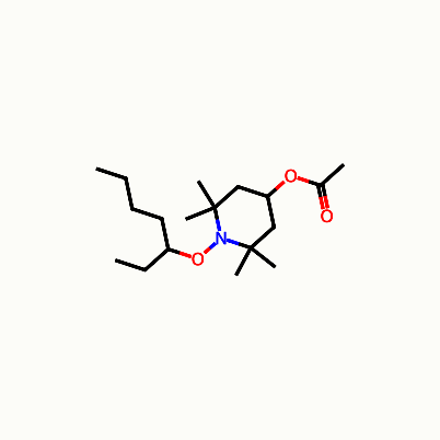 CCCCC(CC)ON1C(C)(C)CC(OC(C)=O)CC1(C)C